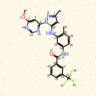 COc1cc(-n2nc(C)cc2Nc2cc(NC(=O)c3cccc(C(F)(F)F)c3)ccc2C)ncn1